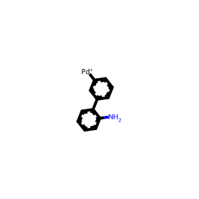 Nc1ccccc1-c1ccc[c]([Pd+])c1